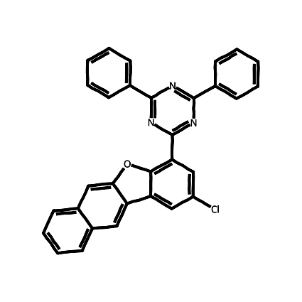 Clc1cc(-c2nc(-c3ccccc3)nc(-c3ccccc3)n2)c2oc3cc4ccccc4cc3c2c1